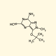 C#Cc1nc(N)c2nn(C)c(OC(C)(C)C)c2n1